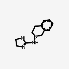 c1ccc2c(c1)CCN(NC1=NCCN1)C2